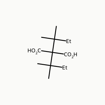 CCC(C)(C)C(C(=O)O)(C(=O)O)C(C)(C)CC